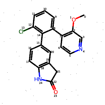 COc1cnccc1-c1cccc(Cl)c1-c1ccc2c(c1)CC(=O)N2